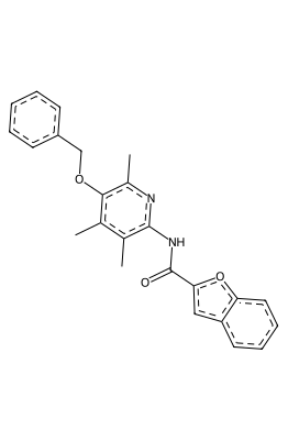 Cc1nc(NC(=O)c2cc3ccccc3o2)c(C)c(C)c1OCc1ccccc1